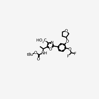 CC(NC(=O)OC(C)(C)C)c1oc(-c2ccc(OC(F)F)c(OC3CCOC3)c2)nc1C(=O)O